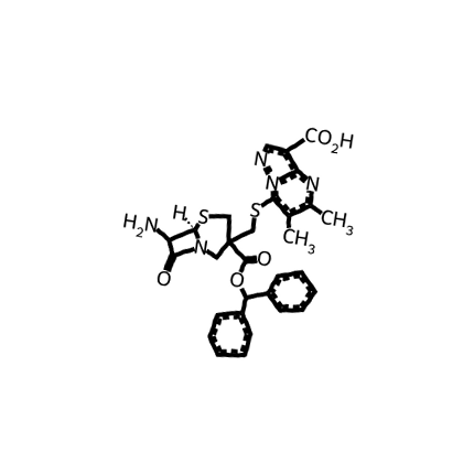 Cc1nc2c(C(=O)O)cnn2c(SCC2(C(=O)OC(c3ccccc3)c3ccccc3)CS[C@@H]3C(N)C(=O)N3C2)c1C